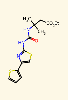 CCOC(=O)CC(C)(C)NC(=O)Nc1nc(-c2cccs2)cs1